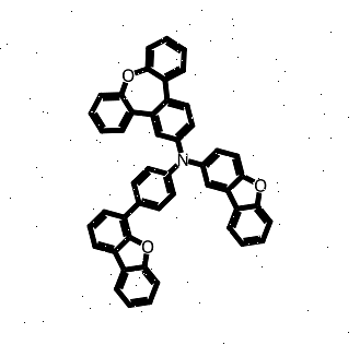 c1ccc2c(c1)Oc1ccccc1-c1cc(N(c3ccc(-c4cccc5c4oc4ccccc45)cc3)c3ccc4oc5ccccc5c4c3)ccc1-2